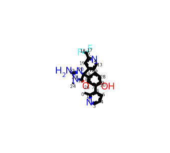 Cc1ncccc1-c1cc(C2(c3ccnc(C(F)F)c3)N=C(N)N(C)C2=O)ccc1O